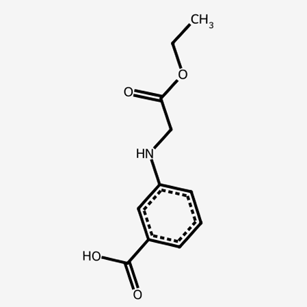 CCOC(=O)CNc1cccc(C(=O)O)c1